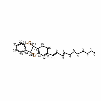 CCCCCCC/C=C/C=C/C1=CC2=C(CC1)C1Sc3ccccc3C1S2